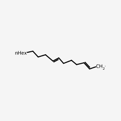 [CH2]C=CCCCC=CCCCCCCCCC